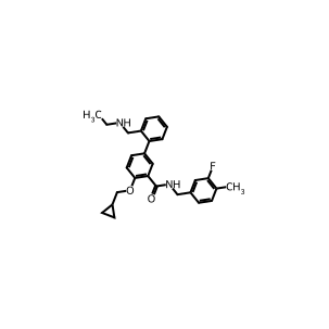 CCNCc1ccccc1-c1ccc(OCC2CC2)c(C(=O)NCc2ccc(C)c(F)c2)c1